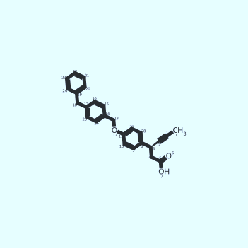 CC#C[C@@H](CC(=O)O)c1ccc(OCc2ccc(Cc3ccccc3)cc2)cc1